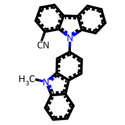 Cn1c2ccccc2c2ccc(-n3c4ccccc4c4cccc(C#N)c43)cc21